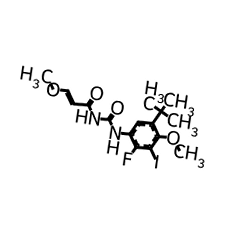 CO/C=C/C(=O)NC(=O)Nc1cc(C(C)(C)C)c(OC)c(I)c1F